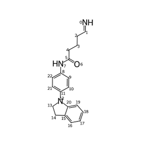 N=CCCCC(=O)Nc1ccc(N2CCc3ccccc32)cc1